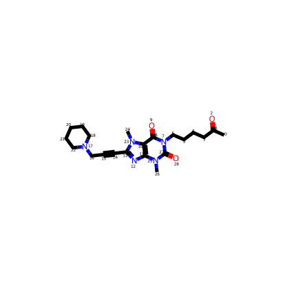 CC(=O)CCCCn1c(=O)c2c(nc(C#CCN3CCCCC3)n2C)n(C)c1=O